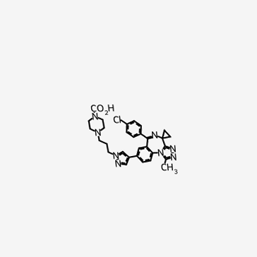 Cc1nnc2n1-c1ccc(-c3cnn(CCCN4CCN(C(=O)O)CC4)c3)cc1C(c1ccc(Cl)cc1)=NC21CC1